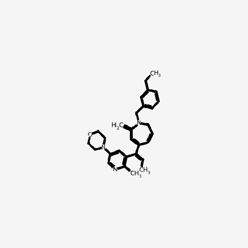 C=C1C=C(/C(=C/C)c2cc(N3CCOCC3)cnc2C)C=CCN1Cc1cccc(CC)c1